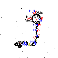 CO[C@H]1C[C@H](C)CC2=C(NCCCNC(=O)CCCN3C(=O)CC(SC[C@H]4CCN5CC[C@@H](CSC[C@H]6CCN7CC[C@H](CO[Si](c8ccccc8)(c8ccccc8)C(C)(C)C)N=C7N6)C=C5N4)C3=O)C(=O)C=C(NC(=O)/C(C)=C/C=C\[C@@H](OC)[C@@H](OC(N)=O)/C(C)=C/[C@H](C)[C@H]1O)C2=O